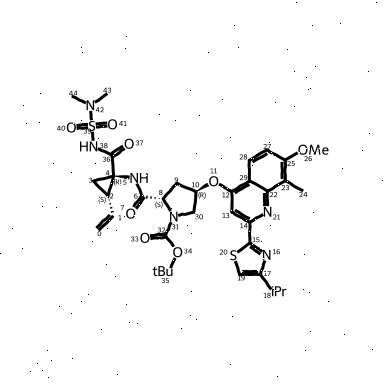 C=C[C@@H]1C[C@]1(NC(=O)[C@@H]1C[C@@H](Oc2cc(-c3nc(C(C)C)cs3)nc3c(C)c(OC)ccc23)CN1C(=O)OC(C)(C)C)C(=O)NS(=O)(=O)N(C)C